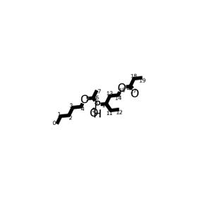 CCCCCOC(C)[PH](=O)C(CC)CCOC(=O)CC